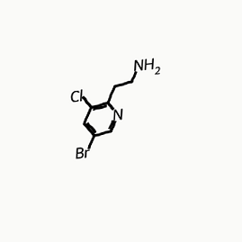 NCCc1ncc(Br)cc1Cl